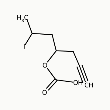 C#CCC(CC(C)I)OC(=O)O